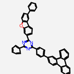 c1ccc(-c2ccc3oc4cc(-c5nc(-c6ccccc6)nc(-c6ccc(-c7ccc8c9ccccc9c9ccccc9c8c7)cc6)n5)ccc4c3c2)cc1